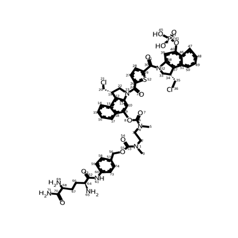 CN(CCN(C)C(=O)Oc1cc2c(c3ccccc13)[C@H](CCl)CN2C(=O)c1ccc(C(=O)N2C[C@@H](CCl)c3c2cc(OP(=O)(O)O)c2ccccc32)s1)C(=O)OCc1ccc(NC(=O)[C@@H](N)CCC(N)C(N)=O)cc1